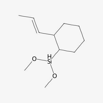 CC=CC1CCCCC1[SiH](OC)OC